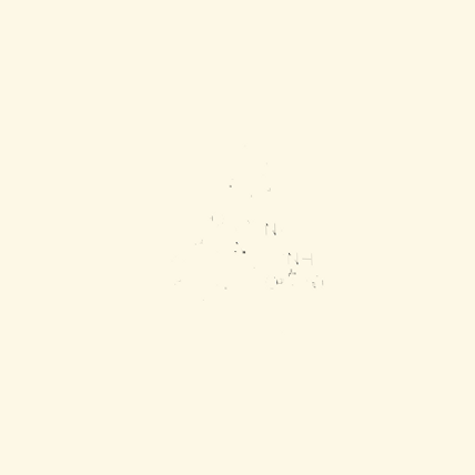 O=c1c(-c2ccccc2)nc(NS(=O)(=O)c2ccccc2)cn1-c1ccccc1